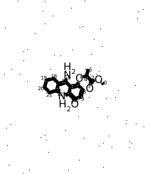 COC(=O)C(C)Oc1cccc2nc3c(c(N)c12)CCCC3.O